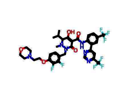 CC(C)C1C(O)=C(C(=O)Nc2ccc(C(F)(F)F)cc2-c2cc(C(F)(F)F)ncn2)C(=O)N(Cc2ccc(OCCN3CCOCC3)c(F)c2F)N1C